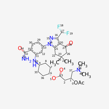 CC(=O)OC(CC(=O)O[C@H]1CC[C@H](Nc2cc(-n3nc(C(F)F)c4c3CC(C)(C)CC4=O)ccc2C(N)=O)CC1)CN(C)C